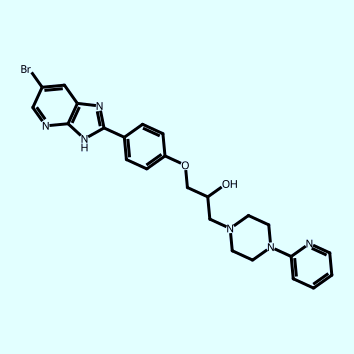 OC(COc1ccc(-c2nc3cc(Br)cnc3[nH]2)cc1)CN1CCN(c2ccccn2)CC1